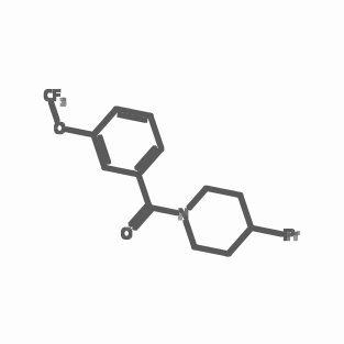 CC(C)C1CCN(C(=O)c2cccc(OC(F)(F)F)c2)CC1